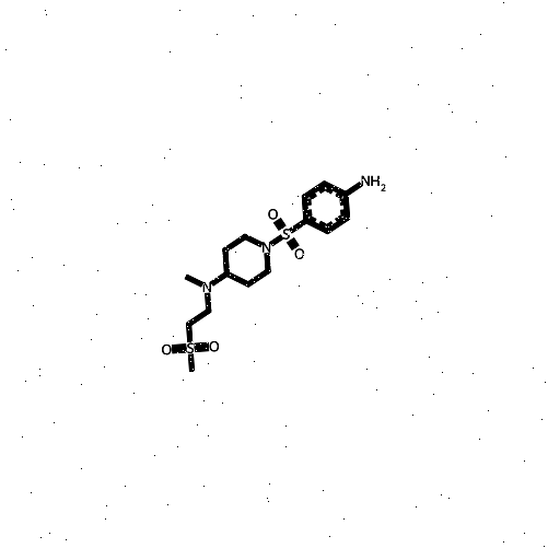 CN(CCS(C)(=O)=O)C1CCN(S(=O)(=O)c2ccc(N)cc2)CC1